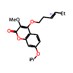 CC/C=C/CCOc1c(OC)c(=O)oc2cc(OC(C)C)ccc12